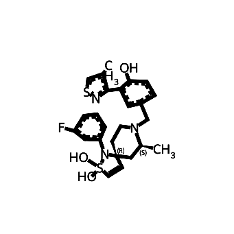 Cc1csnc1-c1cc(CN2CC[C@]3(C=CS(O)(O)N3c3cccc(F)c3)C[C@@H]2C)ccc1O